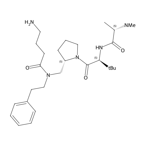 CN[C@@H](C)C(=O)N[C@H](C(=O)N1CCC[C@H]1CN(CCc1ccccc1)C(=O)CCCN)C(C)(C)C